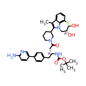 Cc1c(C2CCCN(C(=O)C[C@@H](Cc3ccc(-c4ccc(N)nc4)cc3)NC(=O)OC(C)(C)C)C2)n(C[C@@H](O)CO)c2c(F)cccc12